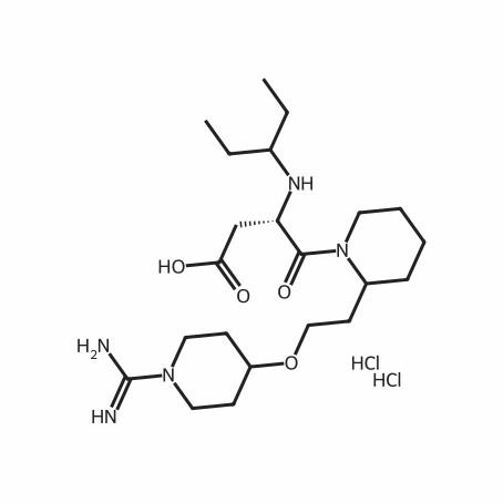 CCC(CC)N[C@@H](CC(=O)O)C(=O)N1CCCCC1CCOC1CCN(C(=N)N)CC1.Cl.Cl